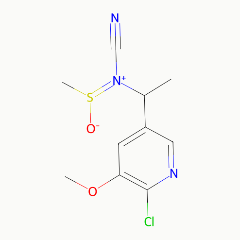 COc1cc(C(C)[N+](C#N)=S(C)[O-])cnc1Cl